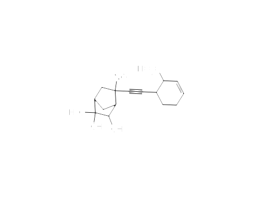 CC1C2CC(CC2(C#CC2CCC=CC2C(=O)O)N=O)C1(C)C